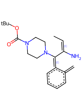 C=c1cccc/c1=C(/C(N)=C\C)N1CCN(C(=O)OC(C)(C)C)CC1